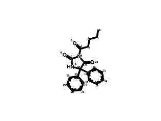 CCCCC(=O)N1C(=O)NC(c2ccccc2)(c2ccccc2)C1=O